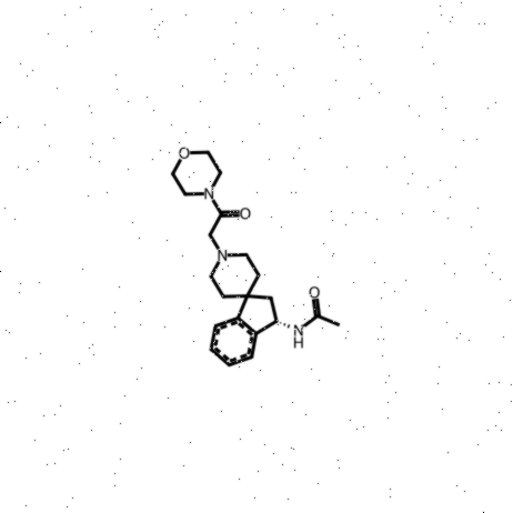 CC(=O)N[C@H]1CC2(CCN(CC(=O)N3CCOCC3)CC2)c2ccccc21